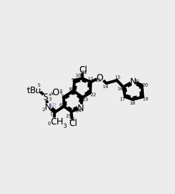 C/C(=N/[S+]([O-])C(C)(C)C)c1cc2cc(Cl)c(OCCc3ccccn3)cc2nc1Cl